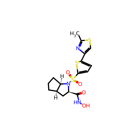 Cc1nc(-c2ccc(S(=O)(=O)N3[C@@H](C(=O)NO)C[C@H]4CCC[C@H]43)s2)cs1